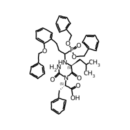 CC(C)C[C@H](NC(CCc1ccccc1OCc1ccccc1)P(=O)(OCc1ccccc1)OCc1ccccc1)C(=O)N(C(N)=O)[C@@H](Cc1ccccc1)C(=O)O